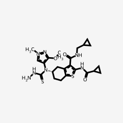 COc1nn(C)cc1N(C(=S)NN)[C@H]1CCc2sc(NC(=O)C3CC3)c(C(=O)NCC3CC3)c2C1